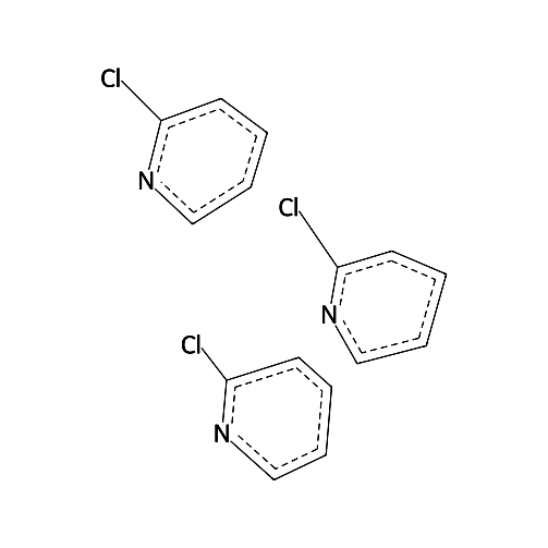 Clc1ccccn1.Clc1ccccn1.Clc1ccccn1